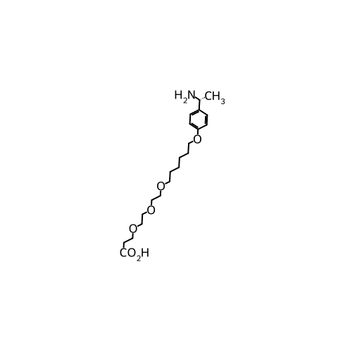 C[C@@H](N)c1ccc(OCCCCCCOCCOCCOCCC(=O)O)cc1